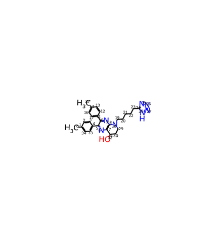 Cc1ccc(-c2nc3c(nc2-c2ccc(C)cc2)N(CCCCCc2nnn[nH]2)CCC3O)cc1